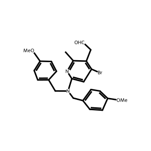 COc1ccc(CN(Cc2ccc(OC)cc2)c2cc(Br)c(CC=O)c(C)n2)cc1